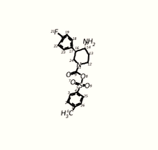 Cc1ccc(S(=O)(=O)OC(=O)N2CC[C@@H](N)[C@H](c3ccc(F)cc3)C2)cc1